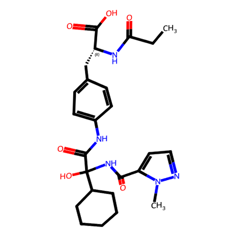 CCC(=O)N[C@H](Cc1ccc(NC(=O)C(O)(NC(=O)c2ccnn2C)C2CCCCC2)cc1)C(=O)O